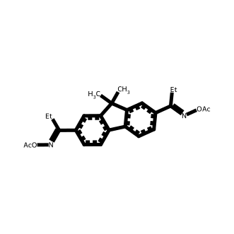 CC/C(=N\OC(C)=O)c1ccc2c(c1)C(C)(C)c1cc(/C(CC)=N/OC(C)=O)ccc1-2